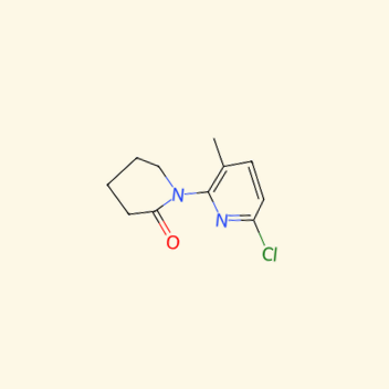 Cc1ccc(Cl)nc1N1CCCCC1=O